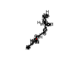 NC1(C(=O)N[C@@H](CCN2CCN(C(=O)CCCCCNC(=O)c3ccc(NC(=O)CNCCn4ccnn4)c(Cl)n3)CC2)c2ccc(Cl)cc2)CCN(c2ncnc3[nH]ccc23)CC1